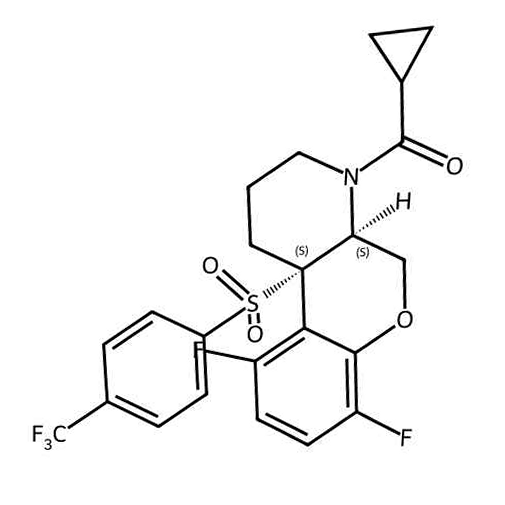 O=C(C1CC1)N1CCC[C@]2(S(=O)(=O)c3ccc(C(F)(F)F)cc3)c3c(F)ccc(F)c3OC[C@H]12